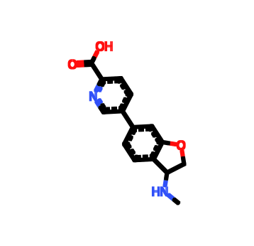 CNC1COc2cc(-c3ccc(C(=O)O)nc3)ccc21